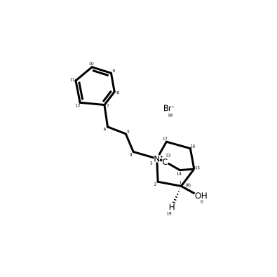 O[C@H]1C[N+]2(CCCc3ccccc3)CCC1CC2.[Br-]